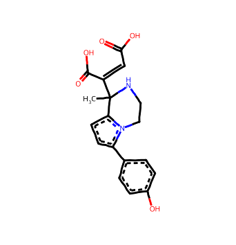 CC1(C(=CC(=O)O)C(=O)O)NCCn2c(-c3ccc(O)cc3)ccc21